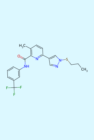 CCCSn1cc(-c2ccc(C)c(C(=O)Nc3cccc(C(F)(F)F)c3)n2)cn1